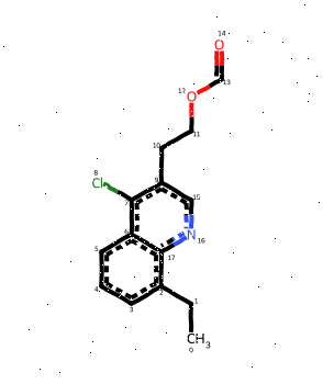 CCc1cccc2c(Cl)c(CCOC=O)cnc12